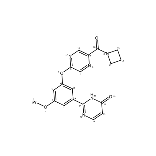 CC(C)Oc1cc(Oc2cnc(C(=O)N3CCC3)cn2)cc(-c2nccc(=O)[nH]2)c1